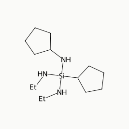 CCN[Si](NCC)(NC1CCCC1)C1CCCC1